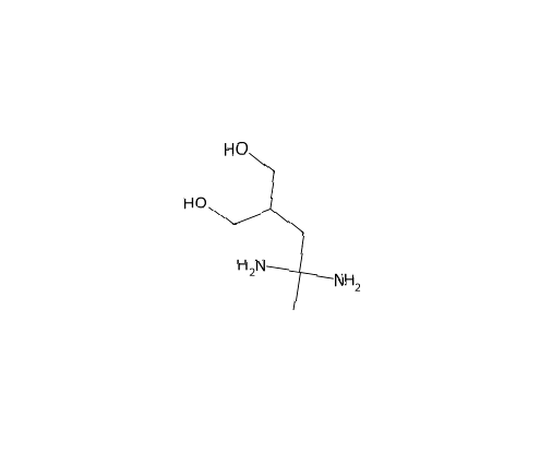 CC(N)(N)CC(CO)CO